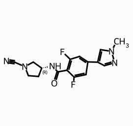 Cn1cc(-c2cc(F)c(C(=O)N[C@@H]3CCN(C#N)C3)c(F)c2)cn1